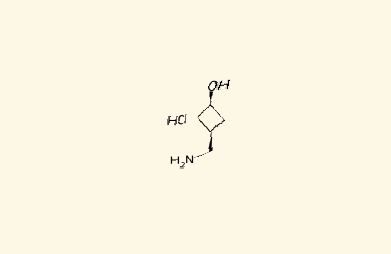 Cl.NC[C@H]1C[C@@H](O)C1